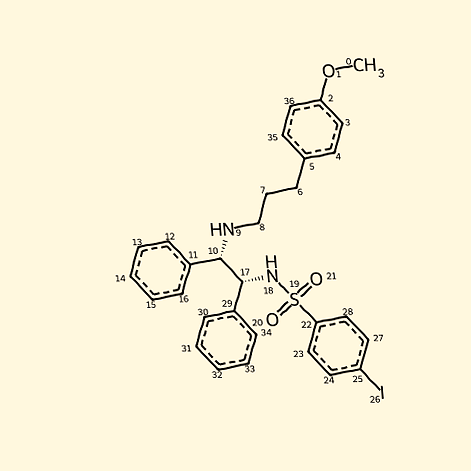 COc1ccc(CCCN[C@@H](c2ccccc2)[C@H](NS(=O)(=O)c2ccc(I)cc2)c2ccccc2)cc1